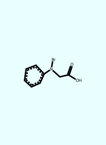 O=C(O)CN(Br)c1ccccc1